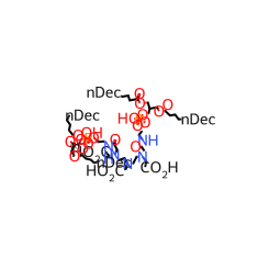 CCCCCCCCCCCCCC(=O)OCC(COC(=O)CCCCCCCCCCCCC)COP(=O)(O)OCCNC(=O)CN(CCN(CCN(CC(=O)O)CC(=O)NCCOP(=O)(O)OC[C@@H](COC(=O)CCCCCCCCCCCCC)OC(=O)CCCCCCCCCCCCC)CC(=O)O)CC(=O)O